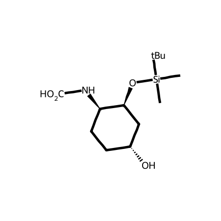 CC(C)(C)[Si](C)(C)O[C@H]1C[C@H](O)CC[C@H]1NC(=O)O